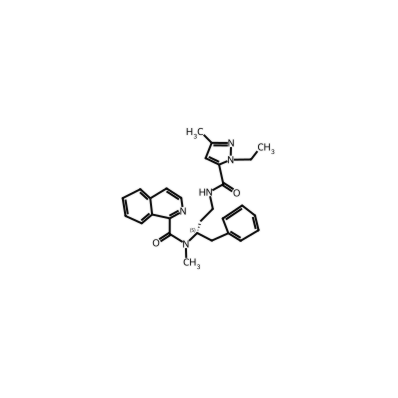 CCn1nc(C)cc1C(=O)NCC[C@H](Cc1ccccc1)N(C)C(=O)c1nccc2ccccc12